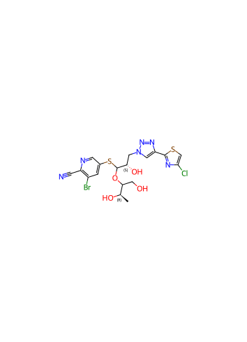 C[C@@H](O)C(CO)OC(Sc1cnc(C#N)c(Br)c1)[C@@H](O)Cn1cc(-c2nc(Cl)cs2)nn1